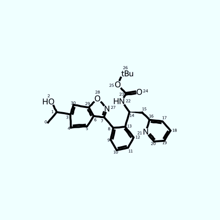 CC(O)c1ccc2c(-c3ccccc3[C@H](Cc3ccccn3)NC(=O)OC(C)(C)C)noc2c1